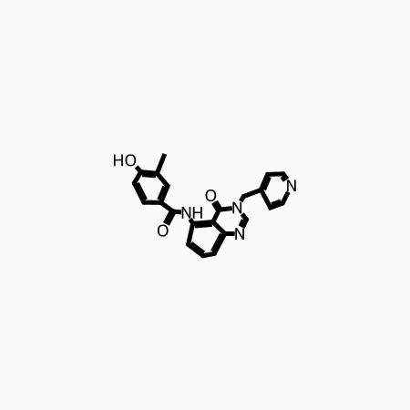 Cc1cc(C(=O)Nc2cccc3ncn(Cc4ccncc4)c(=O)c23)ccc1O